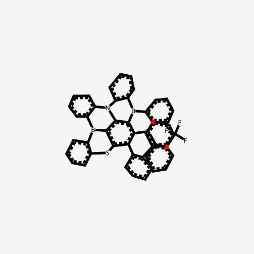 FC(F)(F)c1ccccc1N1c2ccccc2B2c3ccccc3N3c4ccccc4B4c5ccccc5Sc5c4c3c2c1c5-c1ccccc1-c1ccccc1